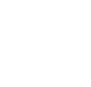 CC12CC3CCC(O)C3(C)CC1O2